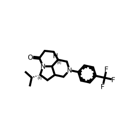 CC(C)[C@H]1CC2CN(c3ccc(C(F)(F)F)cc3)C[C@H]3CCC(=O)N1C23